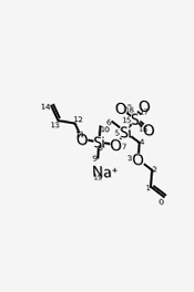 C=CCOC[Si](C)(O[Si](C)(C)OCC=C)S(=O)(=O)[O-].[Na+]